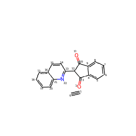 C#C.O=C1c2ccccc2C(=O)C1c1ccc2ccccc2n1